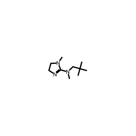 CN1CCN=C1N(C)CC(C)(C)C